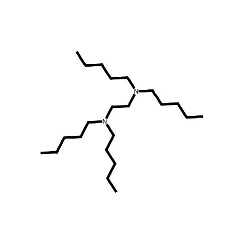 CCCCCN(CCCCC)CCN(CCCCC)CCCCC